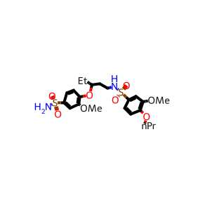 CCCOc1ccc(S(=O)(=O)NCCC(CC)Oc2ccc(S(N)(=O)=O)cc2OC)cc1OC